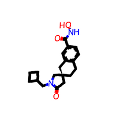 O=C(NO)c1ccc2c(c1)C[C@@]1(CC2)CC(=O)N(CC2CCC2)C1